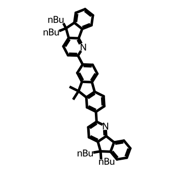 CCCCC1(CCCC)c2ccccc2-c2nc(-c3ccc4c(c3)C(C)(C)c3cc(-c5ccc6c(n5)-c5ccccc5C6(CCCC)CCCC)ccc3-4)ccc21